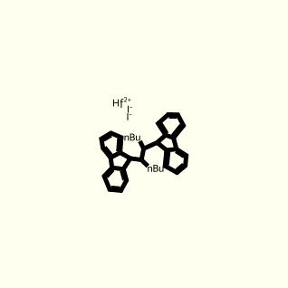 CCCCC(C1c2ccccc2-c2ccccc21)C(CCCC)C1c2ccccc2-c2ccccc21.[Hf+2].[I-].[I-]